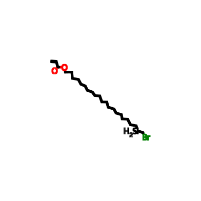 C=CC(=O)OCCCCCCCCCCCCCCCCCCCC[SiH2]CBr